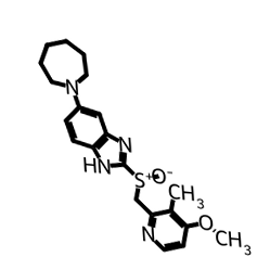 COc1ccnc(C[S+]([O-])c2nc3cc(N4CCCCCC4)ccc3[nH]2)c1C